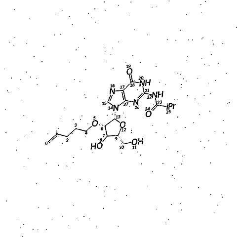 C=CCCCO[C@H]1C(O)[C@@H](CO)O[C@H]1n1cnc2c(=O)[nH]c(NC(=O)C(C)C)nc21